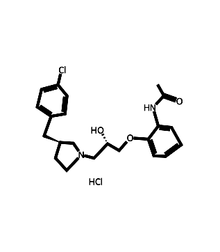 CC(=O)Nc1ccccc1OC[C@@H](O)CN1CC[C@@H](Cc2ccc(Cl)cc2)C1.Cl